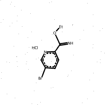 CCOC(=N)c1ccc(Br)cn1.Cl